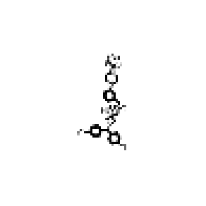 CC(C)(C)OC(=O)N1CCN(c2cccc(CS(=O)(=O)CC3(O)CN(C(c4ccc(Cl)cc4)c4ccc(Cl)cc4)C3)c2)CC1